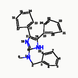 CN(Cc1ccccc1)c1nc(-c2ccccc2)c(-c2ccccc2)[nH]1